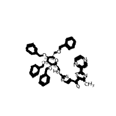 Cc1nc(-c2cnccn2)sc1C(=O)c1cnc(NC[C@@H]2O[C@@H](COCc3ccccc3)[C@H](OCc3ccccc3)[C@@H](OCc3ccccc3)[C@H]2OCc2ccccc2)s1